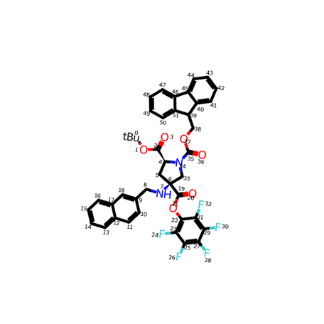 CC(C)(C)OC(=O)[C@@H]1C[C@@](NCc2ccc3ccccc3c2)(C(=O)Oc2c(F)c(F)c(F)c(F)c2F)CN1C(=O)OCC1c2ccccc2-c2ccccc21